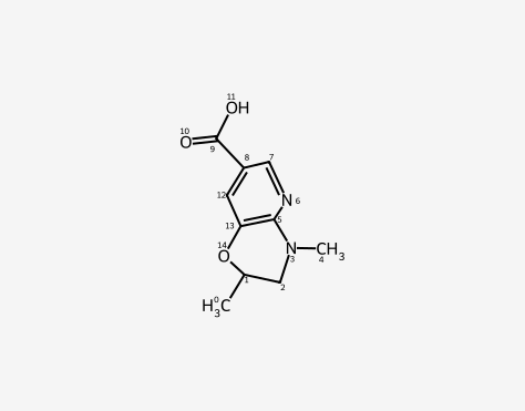 CC1CN(C)c2ncc(C(=O)O)cc2O1